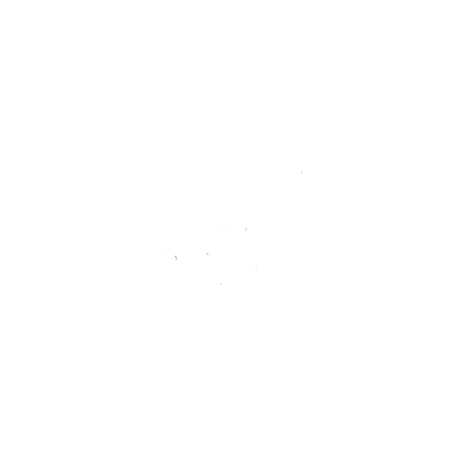 CCC=C(F)C(F)=C(F)C(=O)O